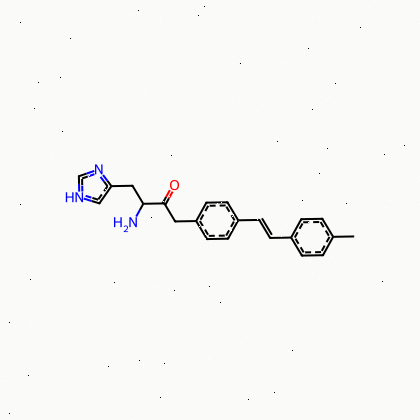 Cc1ccc(/C=C/c2ccc(CC(=O)C(N)Cc3c[nH]cn3)cc2)cc1